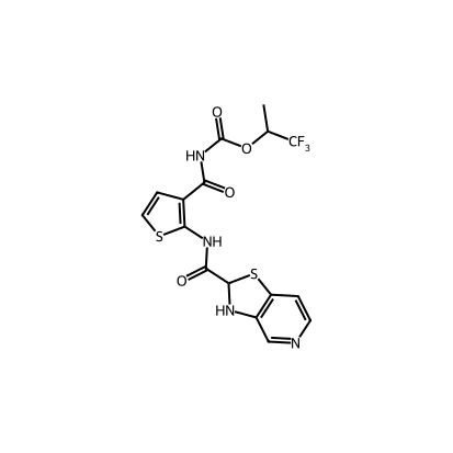 CC(OC(=O)NC(=O)c1ccsc1NC(=O)C1Nc2cnccc2S1)C(F)(F)F